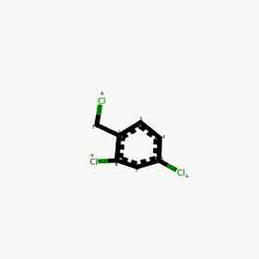 Cl[CH]c1ccc(Cl)cc1Cl